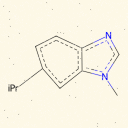 CC(C)c1ccc2ncn(C)c2c1